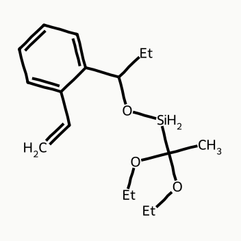 C=Cc1ccccc1C(CC)O[SiH2]C(C)(OCC)OCC